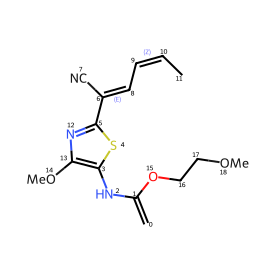 C=C(Nc1sc(/C(C#N)=C/C=C\C)nc1OC)OCCOC